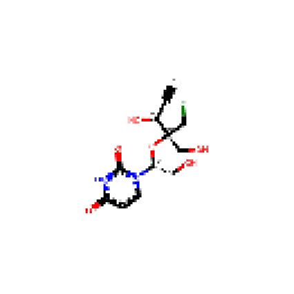 C#C[C@H](O)[C@](CO)(CCl)O[C@H](CO)n1ccc(=O)[nH]c1=O